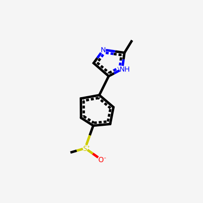 Cc1ncc(-c2ccc([S+](C)[O-])cc2)[nH]1